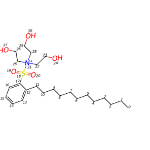 CCCCCCCCCCCCc1ccccc1S(=O)(=O)[N+](CCO)(CCO)CCO